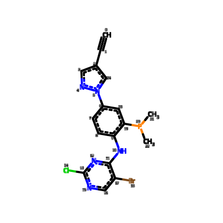 C#Cc1cnn(-c2ccc(Nc3nc(Cl)ncc3Br)c(P(C)C)c2)c1